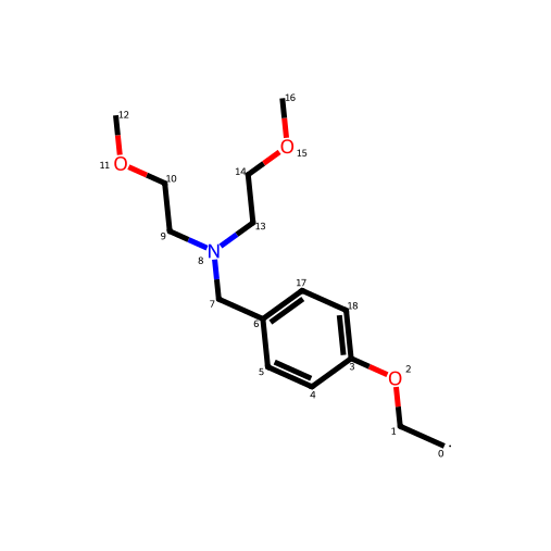 [CH2]COc1ccc(CN(CCOC)CCOC)cc1